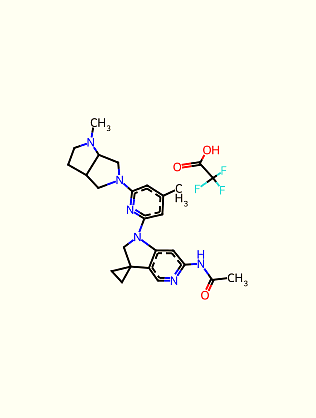 CC(=O)Nc1cc2c(cn1)C1(CC1)CN2c1cc(C)cc(N2CC3CCN(C)C3C2)n1.O=C(O)C(F)(F)F